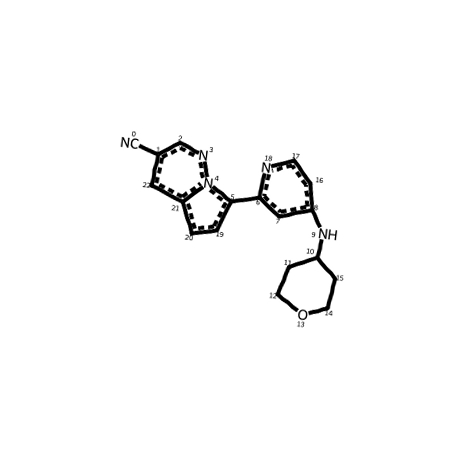 N#Cc1cnn2c(-c3cc(NC4CCOCC4)ccn3)ccc2c1